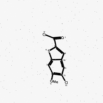 COc1cc2sc(C(=O)Cl)cc2cc1Cl